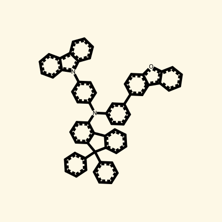 c1ccc(C2(c3ccccc3)c3ccccc3-c3c(N(c4ccc(-n5c6ccccc6c6ccccc65)cc4)c4cccc(-c5ccc6oc7ccccc7c6c5)c4)cccc32)cc1